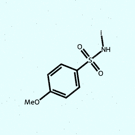 COc1ccc(S(=O)(=O)NI)cc1